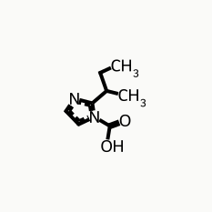 CCC(C)c1nccn1C(=O)O